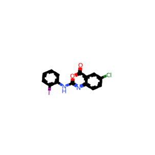 O=c1oc(Nc2ccccc2I)nc2ccc(Cl)cc12